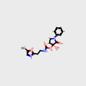 CC(C)(C)c1cnc(CCNC(=O)O[C@@]2(O)CCN(c3ccccc3)C2=O)o1